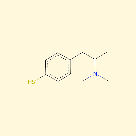 CC(Cc1ccc(S)cc1)N(C)C